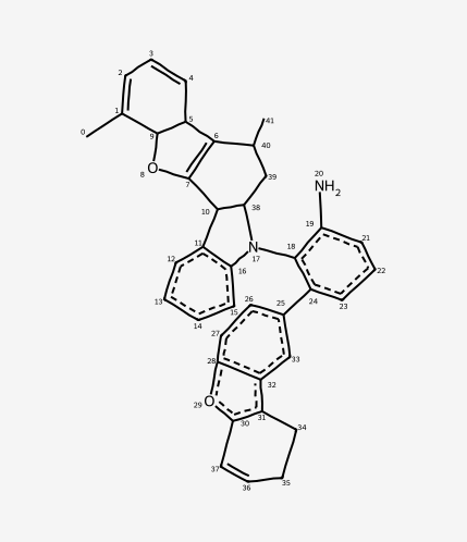 CC1=CC=CC2C3=C(OC12)C1c2ccccc2N(c2c(N)cccc2-c2ccc4oc5c(c4c2)CCC=C5)C1CC3C